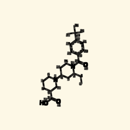 CCC1CC(N2CCCC(C(=O)O)C2)CCN1C(=O)c1ccc(C(C)(C)C)cc1